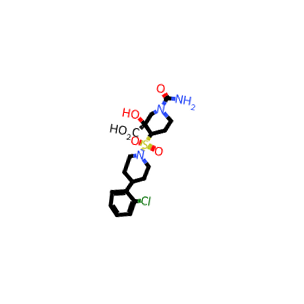 NC(=O)N1CCC(S(=O)(=O)N2CCC(c3ccccc3Cl)CC2)C(O)(C(=O)O)C1